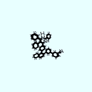 N#CC1=CCCC(C2C=CCC(c3ccc4c(c3C3CC=C(C5NC(C6=CCCC=C6)NC(C6C=CC=CC6)=C5C5CCCCC5)CC3)CCCC4)C2)C1